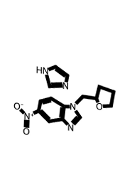 O=[N+]([O-])c1ccc2c(c1)ncn2CC1CCCO1.c1c[nH]cn1